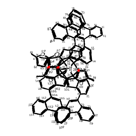 Cc1ccc(C2=Cc3c(-c4cc5ccccc5c5ccccc45)cccc3[C]23[SiH](C)[C]2(C(c4ccc(C)o4)=Cc4c(-c5cc6ccccc6c6ccccc56)cccc42)[Hf]32([Cl])([Cl])[C]3(C(c4ccc(C)o4)=Cc4c(-c5cc6ccccc6c6ccccc56)cccc43)[SiH](C)[C]23C(c2ccc(C)o2)=Cc2c(-c4cc5ccccc5c5ccccc45)cccc23)o1